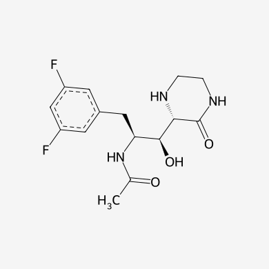 CC(=O)N[C@@H](Cc1cc(F)cc(F)c1)[C@H](O)[C@@H]1NCCNC1=O